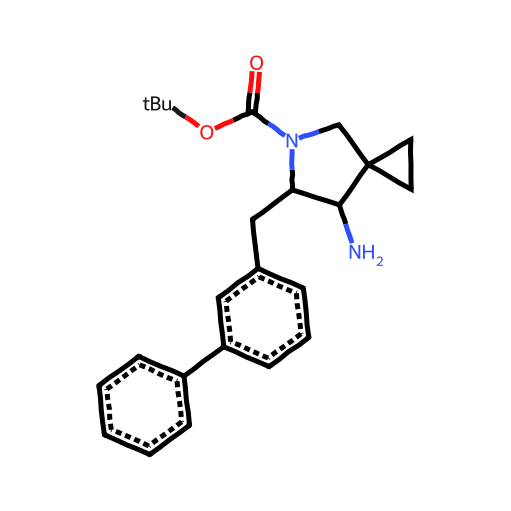 CC(C)(C)OC(=O)N1CC2(CC2)C(N)C1Cc1cccc(-c2ccccc2)c1